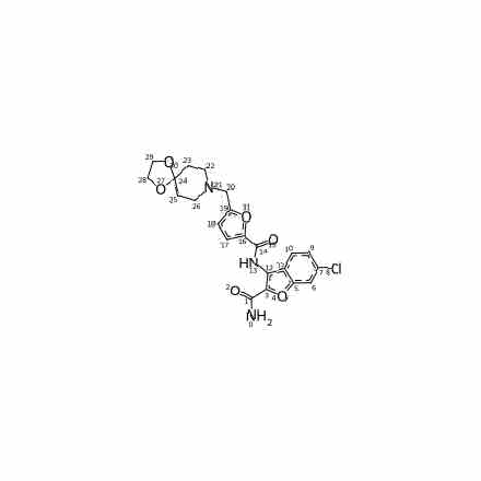 NC(=O)c1oc2cc(Cl)ccc2c1NC(=O)c1ccc(CN2CCC3(CC2)OCCO3)o1